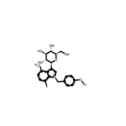 CCOc1ccc(Cn2cc([C@@H]3O[C@H](CO)[C@@H](O)[C@H](O)[C@H]3O)c3c(C)ccc(F)c32)cc1